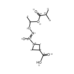 CC(ON=[N+]([O-])N1CC(C(=O)O)C1)OC(=O)C(C)C